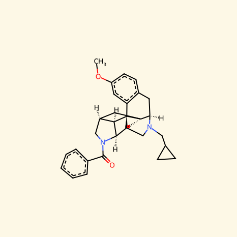 COc1ccc2c(c1)[C@]13CCN(CC4CC4)[C@H](C2)[C@]12CC[C@@H]1[C@H]3[C@@H](CN1C(=O)c1ccccc1)C2